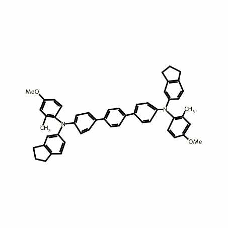 COc1ccc(N(c2ccc(-c3ccc(-c4ccc(N(c5ccc6c(c5)CCC6)c5ccc(OC)cc5C)cc4)cc3)cc2)c2ccc3c(c2)CCC3)c(C)c1